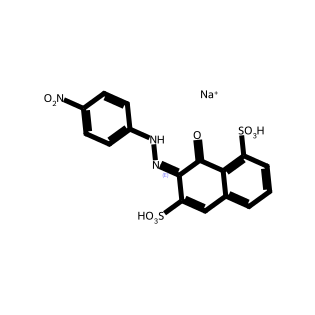 O=C1/C(=N\Nc2ccc([N+](=O)[O-])cc2)C(S(=O)(=O)O)=Cc2cccc(S(=O)(=O)O)c21.[Na+]